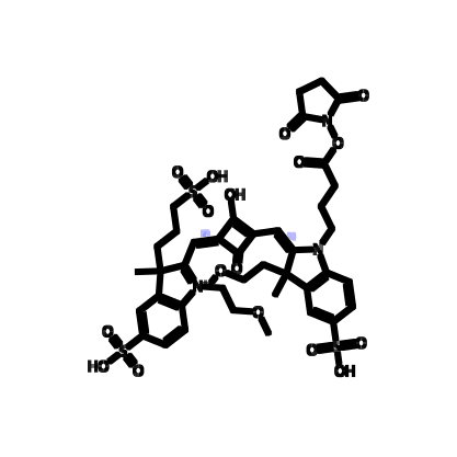 COCC[N+]1=C(/C=C2\C(=O)C(/C=C3/N(CCCC(=O)ON4C(=O)CCC4=O)c4ccc(S(=O)(=O)O)cc4C3(C)CCOC)=C2O)C(C)(CCCS(=O)(=O)O)c2cc(S(=O)(=O)O)ccc21